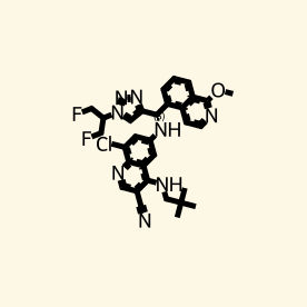 COc1nccc2c([C@H](Nc3cc(Cl)c4ncc(C#N)c(NCC(C)(C)C)c4c3)c3cn(C(CF)CF)nn3)cccc12